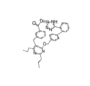 CCCc1nc(CCC)c(Cc2cccc(C(=O)O)c2)c(OCc2ccc(-c3ccccc3-c3nnn[nH]3)cc2)n1